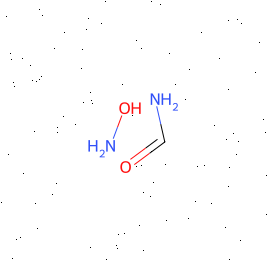 NC=O.NO